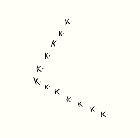 [K].[K].[K].[K].[K].[K].[K].[K].[K].[K].[K].[K]